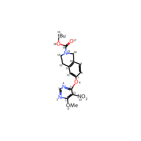 COc1ncnc(Oc2ccc3c(c2)CCN(C(=O)OC(C)(C)C)C3)c1[N+](=O)[O-]